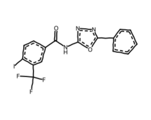 O=C(Nc1nnc(-c2ccccc2)o1)c1ccc(I)c(C(F)(F)F)c1